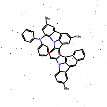 CC(C)(C)c1ccc2c(c1)c1cc3ccccc3c3c4c5c6cc(C(C)(C)C)cc7c8cc(C(C)(C)C)cc(N(c9ccccc9)c9ccccc9)c8n(c5ccc4n2c13)c76